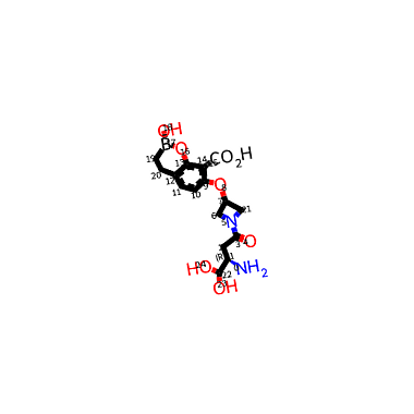 N[C@H](CC(=O)N1CC(Oc2ccc3c(c2C(=O)O)OB(O)CC3)C1)C(O)O